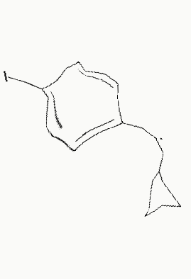 Ic1ccc([CH]C2CC2)cc1